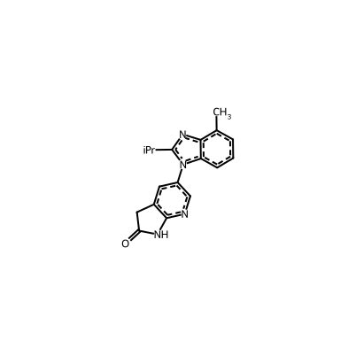 Cc1cccc2c1nc(C(C)C)n2-c1cnc2c(c1)CC(=O)N2